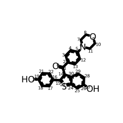 O=C(c1ccc(N2CCOCC2)cc1)c1c(-c2ccc(O)cc2)sc2cc(O)ccc12